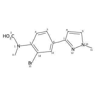 CN(C(=O)O)c1ccc(-c2ccn(C)n2)cc1Br